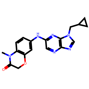 CN1C(=O)COc2cc(Nc3cnc4ncn(CC5CC5)c4n3)ccc21